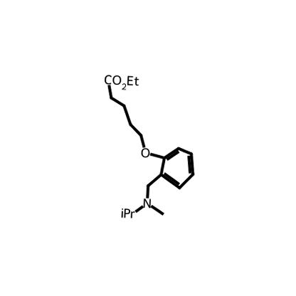 CCOC(=O)CCCCOc1ccccc1CN(C)C(C)C